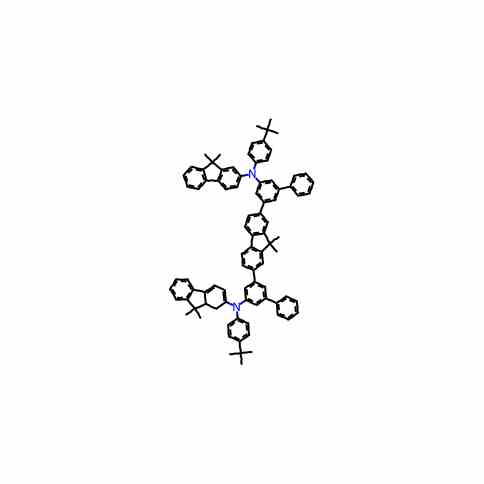 CC(C)(C)c1ccc(N(C2=CC=C3c4ccccc4C(C)(C)C3C2)c2cc(-c3ccccc3)cc(-c3ccc4c(c3)C(C)(C)c3cc(-c5cc(-c6ccccc6)cc(N(c6ccc(C(C)(C)C)cc6)c6ccc7c(c6)C(C)(C)c6ccccc6-7)c5)ccc3-4)c2)cc1